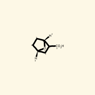 O=C(O)C1C[C@@H]2CC[C@H]1O2